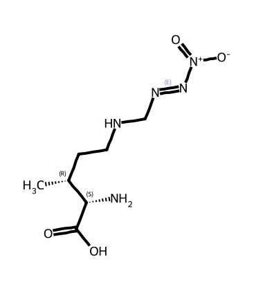 C[C@H](CCNC/N=N/[N+](=O)[O-])[C@H](N)C(=O)O